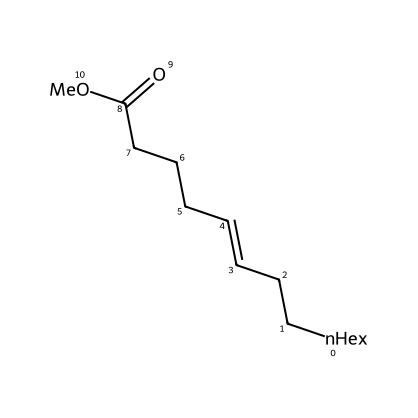 CCCCCCCCC=CCCCC(=O)OC